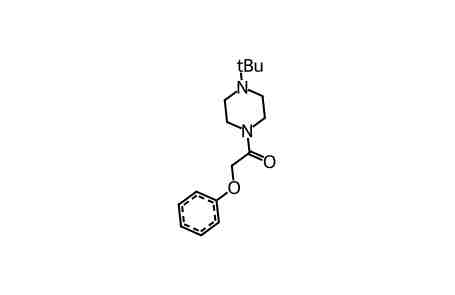 CC(C)(C)N1CCN(C(=O)COc2ccccc2)CC1